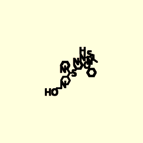 Cc1csc(Nc2ncc(SC(c3ccccn3)C3CCN(CCO)CC3)cc2Oc2ccccc2)n1